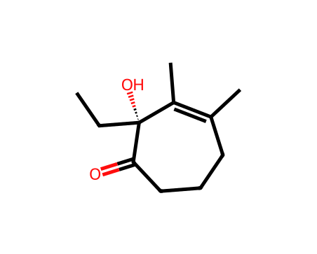 CC[C@]1(O)C(=O)CCCC(C)=C1C